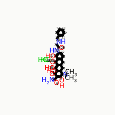 CN(C)[C@@H]1C(O)=C(C(N)=O)C(=O)C2(O)C(O)=C3C(=O)c4c(ccc(NC(=O)CNCc5ccccc5)c4O)CC3CC12.Cl.Cl